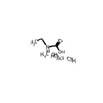 C.C.CCNC(=O)O.Cl.Cl.Cl